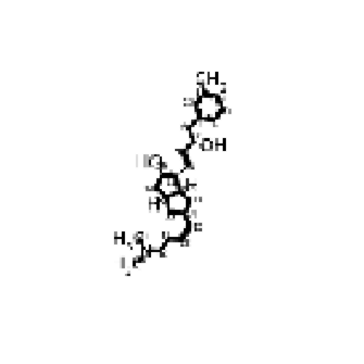 Cc1cccc(C[C@H](O)/C=C/[C@@H]2[C@H]3CC(/C=C\CCN(C)C)=C[C@H]3C[C@H]2O)c1